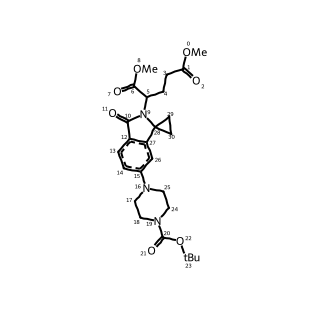 COC(=O)CCC(C(=O)OC)N1C(=O)c2ccc(N3CCN(C(=O)OC(C)(C)C)CC3)cc2C12CC2